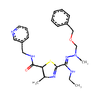 CCN/C(=N\N(C)COCc1ccccc1)C1=NC(C)C(C(=O)NCc2cccnc2)S1